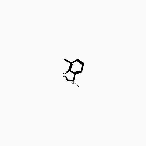 Cc1cccc2c1OC[C@H]2C